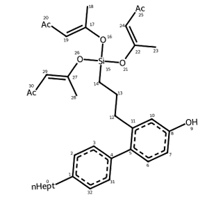 CCCCCCCc1ccc(-c2ccc(O)cc2CCC[Si](OC(C)=CC(C)=O)(OC(C)=CC(C)=O)OC(C)=CC(C)=O)cc1